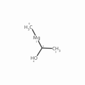 [CH3][Mg][CH](C)O